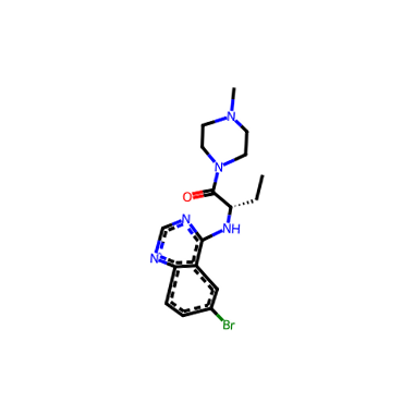 CC[C@H](Nc1ncnc2ccc(Br)cc12)C(=O)N1CCN(C)CC1